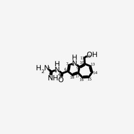 N=C(N)NC(=O)C1=CNC2=C(CO)C=CC=CC2=C1